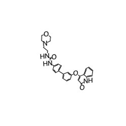 O=C(NCCN1CCOCC1)Nc1ccc(-c2cccc(Oc3cc(=O)[nH]c4ccccc34)c2)cc1